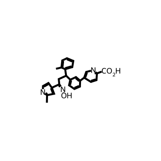 Cc1cc(C(CC(c2cccc(-c3ccc(C(=O)O)nc3)c2)c2ccccc2C)=NO)ccn1